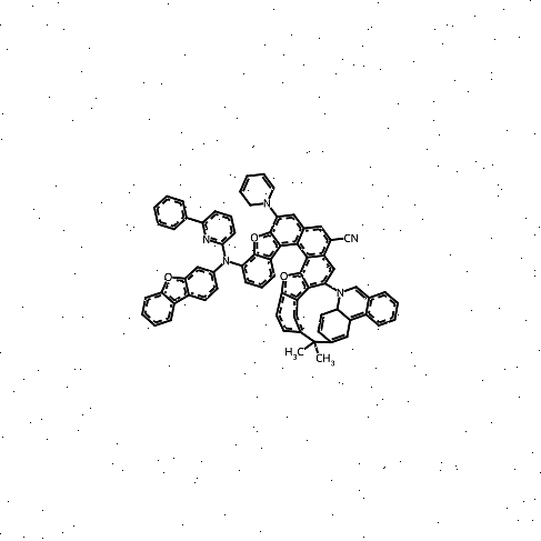 CC1(C)C2=CC3=c4ccccc4=CN(c4cc5c(C#N)cc6cc(N7C=CC=CC7)c7oc8c(N(c9ccc%10c(c9)oc9ccccc9%10)c9cccc(-c%10ccccc%10)n9)cccc8c7c6c5c5oc6ccc1cc6c45)C3C=C2